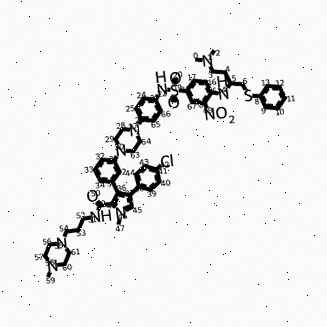 CN(C)CCC(CSc1ccccc1)Nc1ccc(S(=O)(=O)Nc2ccc(N3CCN(c4cccc(-c5c(-c6ccc(Cl)cc6)cn(C)c5C(=O)NCCCN5CCN(C)CC5)c4)CC3)cc2)cc1[N+](=O)[O-]